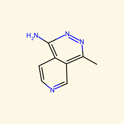 Cc1nnc(N)c2ccncc12